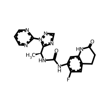 C[C@H](NC(=O)Nc1cc2c(cc1F)CCC(=O)N2)c1ncnn1-c1ncccn1